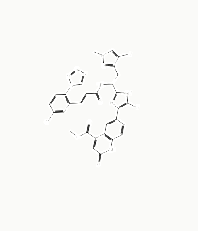 COC(=O)c1cc(=O)[nH]c2ccc(-c3nc([C@H](Cc4nn(C)cc4Cl)NC(=O)/C=C/c4cc(Cl)ccc4-n4cnnn4)[nH]c3Cl)cc12